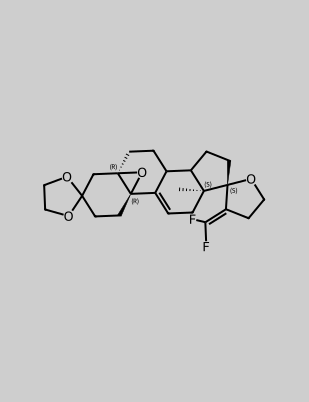 C[C@]12CC=C3C(CC[C@@]45CC6(CC[C@@]34O5)OCCO6)C1CC[C@]21OCCC1=C(F)F